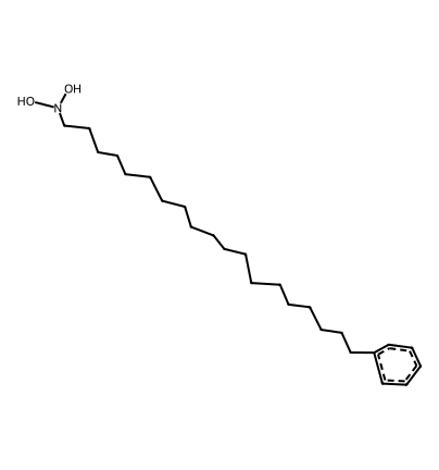 ON(O)CCCCCCCCCCCCCCCCCCCc1ccccc1